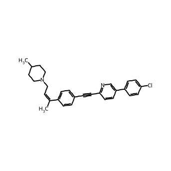 C/C(=C/CN1CCC(C)CC1)c1ccc(C#Cc2ccc(-c3ccc(Cl)cc3)cn2)cc1